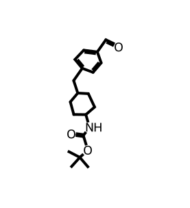 CC(C)(C)OC(=O)NC1CCC(Cc2ccc(C=O)cc2)CC1